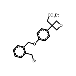 CCOC(=O)CC1(c2ccc(OCc3ccccc3CBr)cc2)COC1